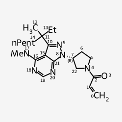 C=CC(=O)N1CC[C@@H](n2nc(C(C)(CC)CCCCC)c3c(NC)ncnc32)C1